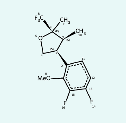 COc1c([C@H]2CO[C@@](C)(C(F)(F)F)[C@H]2C)ccc(F)c1F